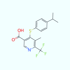 Cc1c(C(F)(F)F)ncc(C(=O)O)c1Sc1ccc(C(C)C)cc1